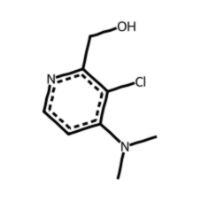 CN(C)c1ccnc(CO)c1Cl